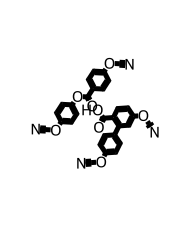 N#COc1ccc(-c2cc(OC#N)ccc2C(=O)O)cc1.N#COc1ccc(OC(=O)c2ccc(OC#N)cc2)cc1